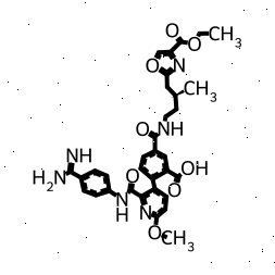 CCOC(=O)c1coc(C[C@@H](C)CCNC(=O)c2ccc(-c3ccc(OC)nc3C(=O)Nc3ccc(C(=N)N)cc3)c(C(=O)O)c2)n1